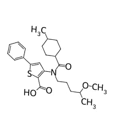 COC(C)CCCN(C(=O)C1CCC(C)CC1)c1cc(-c2ccccc2)sc1C(=O)O